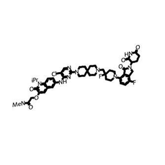 CNC(=O)COc1cc2cc(Nc3nc(N4CCC5(CCN(CC6(F)CCN(c7ccc(F)c8c7C(=O)N(C7CCC(=O)NC7=O)C8)CC6)CC5)CC4)ncc3Cl)ccc2n(C(C)C)c1=O